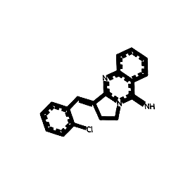 N=c1c2ccccc2nc2n1CC/C2=C\c1ccccc1Cl